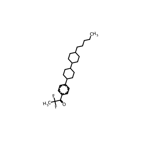 CCCCCC1CCC(C2CCC(c3ccc(C(=O)C(C)(F)F)cc3)CC2)CC1